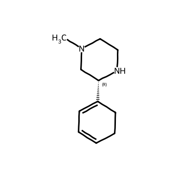 CN1CCN[C@H](C2=CC=CCC2)C1